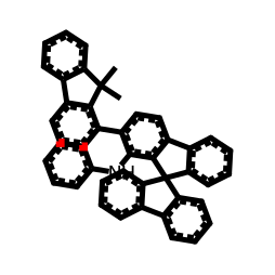 CC1(C)c2ccccc2-c2cccc(-c3ccc4c(c3Nc3ccccc3)C3(c5ccccc5-c5ccccc53)c3ccccc3-4)c21